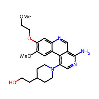 COCCOc1cc2ncc3c(N)ncc(N4CCC(CCO)CC4)c3c2cc1OC